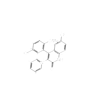 COc1ccc(Cl)cc1-c1c(-[n+]2ccccc2)c(=O)[nH]c2ccc(C(F)(F)F)cc12